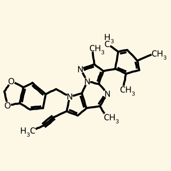 CC#Cc1cc2c(C)nc3c(-c4c(C)cc(C)cc4C)c(C)nn3c2n1Cc1ccc2c(c1)OCO2